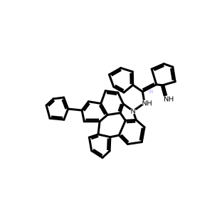 N=C1C=CC=C/C1=C(/Nn1c2cccc3c2c2c4c(cc(-c5ccccc5)cc4ccc21)-c1ccccc1-3)c1ccccc1